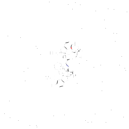 COc1c(F)ccc2c1C(CC1CCCCN1C)(OC(=O)/C=C/C(=O)OC1(CC3CCCCN3C)c3c(ccc(F)c3OC)CC1(C)C)C(C)(C)C2